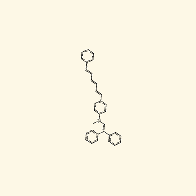 CN(C=C(c1ccccc1)c1ccccc1)c1ccc(/C=C/C=C/C=C/c2ccccc2)cc1